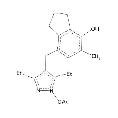 CCc1nn(OC(C)=O)c(CC)c1Cc1cc(C)c(O)c2c1CCC2